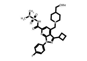 COCC1CCN(Cc2cc(C(=O)NS(=O)(=O)N(C)C)nc3c2c(C2CCC2)nn3-c2ccc(F)cc2)CC1